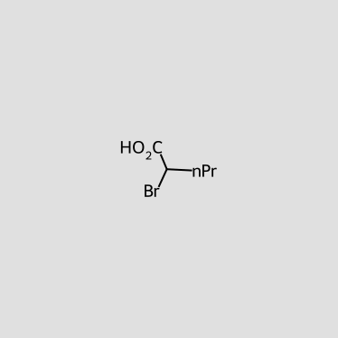 CCCC(Br)C(=O)O